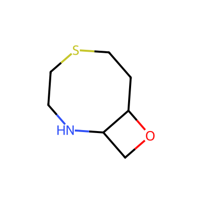 C1CSCCC2OCC2N1